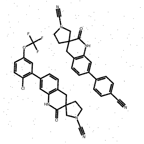 N#CN1CCC2(Cc3ccc(-c4cc(OC(F)(F)F)ccc4Cl)cc3NC2=O)C1.N#Cc1ccc(-c2ccc3c(c2)NC(=O)C2(CCN(C#N)C2)C3)cc1